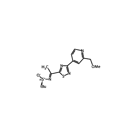 COCc1cc(-c2nsc(C(C)=N[S@+]([O-])C(C)(C)C)n2)ccn1